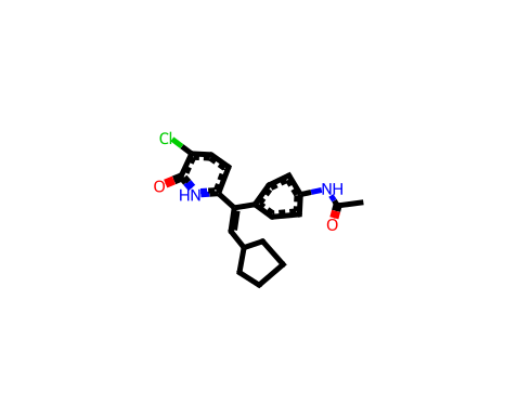 CC(=O)Nc1ccc(/C(=C\C2CCCC2)c2ccc(Cl)c(=O)[nH]2)cc1